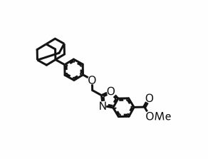 COC(=O)c1ccc2nc(COc3ccc(C45CC6CC(CC(C6)C4)C5)cc3)oc2c1